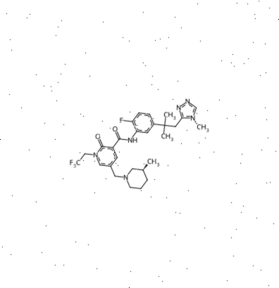 C[C@H]1CCCN(Cc2cc(C(=O)Nc3cc(C(C)(C)Cc4nncn4C)ccc3F)c(=O)n(CC(F)(F)F)c2)C1